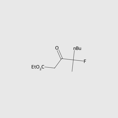 CCCCC(C)(F)C(=O)CC(=O)OCC